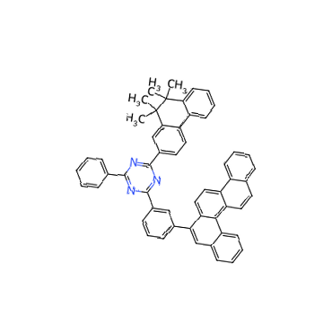 CC1(C)c2ccccc2-c2ccc(-c3nc(-c4ccccc4)nc(-c4cccc(-c5cc6ccccc6c6c5ccc5c7ccccc7ccc56)c4)n3)cc2C1(C)C